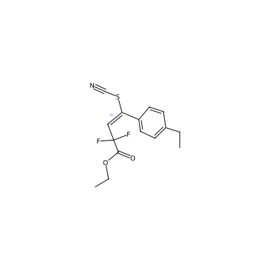 CCOC(=O)C(F)(F)/C=C(/SC#N)c1ccc(CC)cc1